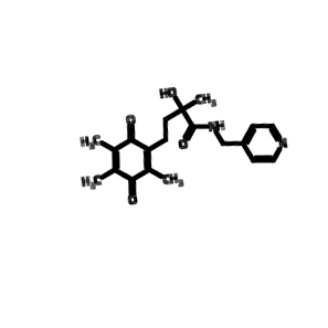 CC1=C(C)C(=O)C(CCC(C)(O)C(=O)NCc2ccncc2)=C(C)C1=O